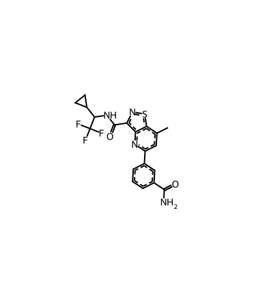 Cc1cc(-c2cccc(C(N)=O)c2)nc2c(C(=O)NC(C3CC3)C(F)(F)F)nsc12